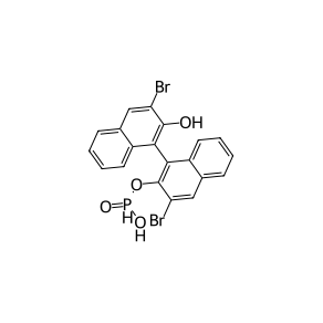 O=[PH](O)Oc1c(Br)cc2ccccc2c1-c1c(O)c(Br)cc2ccccc12